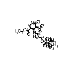 CCOC(=O)c1cnc(Cl)c([N+](=O)[O-])c1NCCCO[Si](C)(C)C(C)(C)C